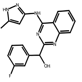 Cc1cc(Nc2nc(C(O)c3cccc(F)c3)nc3ccccc23)n[nH]1